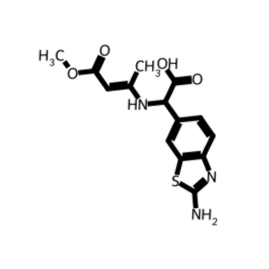 COC(=O)/C=C(\C)NC(C(=O)O)c1ccc2nc(N)sc2c1